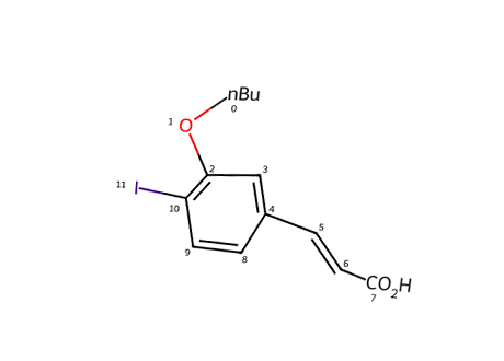 CCCCOc1cc(C=CC(=O)O)ccc1I